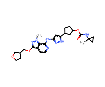 Cn1nc(OCC2CCOC2)c2ccnc(Nc3cc(C4CCC(OC(=O)NC5(C)CC5)C4)[nH]n3)c21